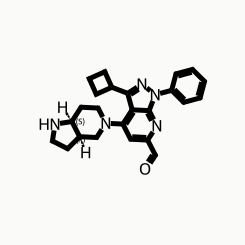 O=Cc1cc(N2CC[C@@H]3NCC[C@@H]3C2)c2c(C3CCC3)nn(-c3ccccc3)c2n1